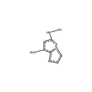 COc1cc(BO)nn2ccnc12